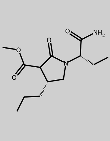 CCC[C@H]1CN([C@@H](CC)C(N)=O)C(=O)C1C(=O)OC